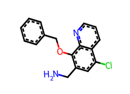 NCc1cc(Cl)c2cccnc2c1OCc1ccccc1